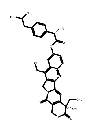 CCc1c2c(nc3ccc(OC(=O)[C@@H](C)c4ccc(CC(C)C)cc4)cc13)-c1cc3c(c(=O)n1C2)COC(=O)[C@]3(O)CC